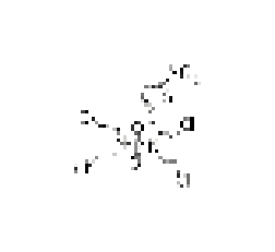 O=[N+]([O-])c1ccc(COP(=O)(N(CCCl)CCCl)N(CCCl)CCCl)s1